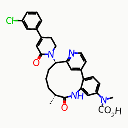 C[C@@H]1CCC[C@H](N2CCC(c3cccc(Cl)c3)=CC2=O)c2cc(ccn2)-c2ccc(N(C)C(=O)O)cc2NC1=O